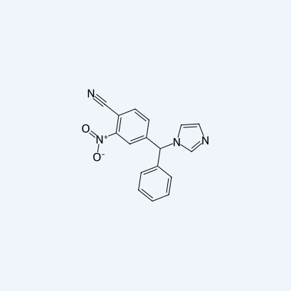 N#Cc1ccc(C(c2ccccc2)n2ccnc2)cc1[N+](=O)[O-]